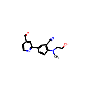 CN(CCO)c1ccc(-c2cc(C=O)ccn2)cc1C#N